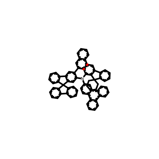 c1ccc2c(c1)-c1cccc(N(c3ccc4c5ccccc5c5ccccc5c4c3)c3cc4c(cc3-c3ccc5ccccc5c3)-c3ccccc3C43c4ccccc4-c4ccccc43)c1C21CCCCC1